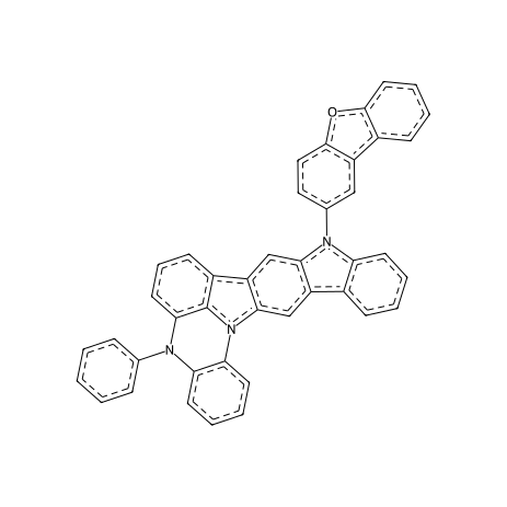 c1ccc(N2c3ccccc3-n3c4cc5c6ccccc6n(-c6ccc7oc8ccccc8c7c6)c5cc4c4cccc2c43)cc1